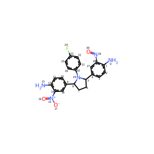 Nc1ccc(C2CCC(c3ccc(N)c([N+](=O)[O-])c3)N2c2ccc(F)cc2)cc1N=O